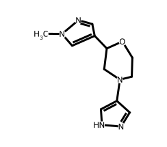 Cn1cc(C2CN(c3cn[nH]c3)CCO2)cn1